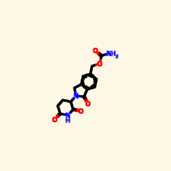 NC(=O)OCc1ccc2c(c1)CN(C1CCC(=O)NC1=O)C2=O